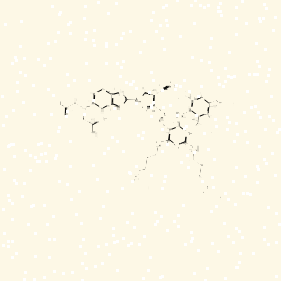 COCCCNc1nc(NCCCOC)c(N=Nc2nn(-c3nc4ccc(N(CC(=O)O)CC(=O)O)cc4s3)cc2C#N)c(Nc2c(C)cc(C)cc2C)n1